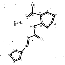 O=C(C=Cc1cccs1)Nc1ccccc1C(=O)O.[CaH2]